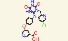 O=C(O)c1cncc(Oc2ccc(/N=c3\[nH]c(=O)[nH]c(=O)n3Cc3ccc(Cl)cn3)cc2)c1